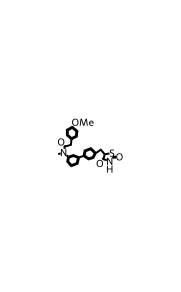 COc1ccc(CC(=O)N(C)c2cccc(-c3ccc(CC4SC(=O)NC4=O)cc3)c2)cc1